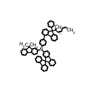 C=C(/C=C\C=C/C)C1(c2ccccc2)c2ccccc2-c2c(-c3ccc(N(c4ccc5c(c4)C(C)(C)c4ccccc4-5)c4ccc5c(c4)C4(c6ccccc6-c6ccccc64)c4ccccc4-5)cc3)cccc21